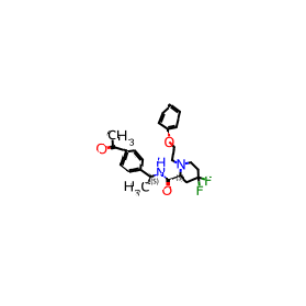 CC(=O)c1ccc([C@H](C)NC(=O)[C@@H]2CC(F)(F)CCN2CCOc2ccccc2)cc1